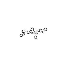 c1ccc(C2N=C(c3ccc4c(c3)oc3ccccc34)NC(c3cccc4c3oc3ccc(-c5cccc6c5sc5ccccc56)cc34)N2)cc1